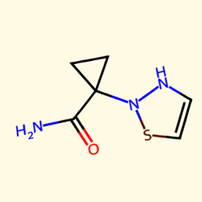 NC(=O)C1(N2NC=CS2)CC1